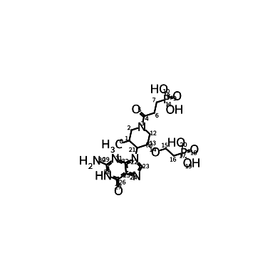 CC1CN(C(=O)CCP(=O)(O)O)C[C@H](OCCP(=O)(O)O)C1n1cnc2c(=O)[nH]c(N)nc21